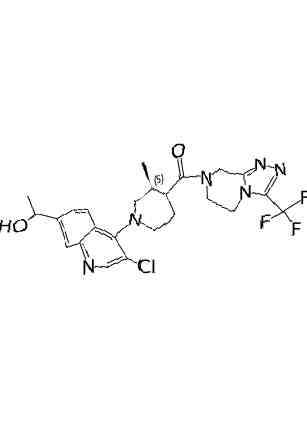 CC(O)c1ccc2c(N3CCC(C(=O)N4CCn5c(nnc5C(F)(F)F)C4)[C@H](C)C3)c(Cl)cnc2c1